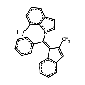 Cc1cccc2ccn(C(=C3C(C(F)(F)F)=Cc4ccccc43)c3ccccc3)c12